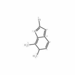 CCC1=NC2=C(C)C(C)C=CC2=C1